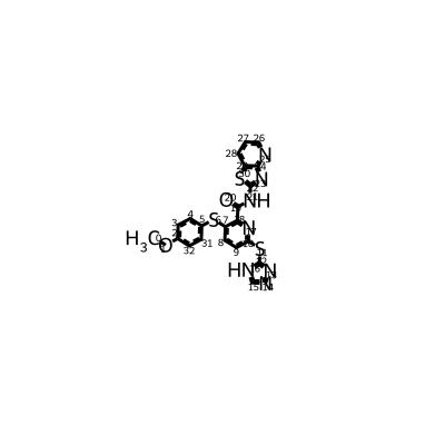 COc1ccc(Sc2ccc(Sc3nnc[nH]3)nc2C(=O)Nc2nc3ncccc3s2)cc1